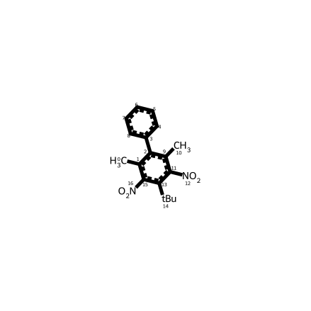 Cc1c(-c2ccccc2)c(C)c([N+](=O)[O-])c(C(C)(C)C)c1[N+](=O)[O-]